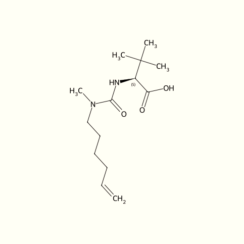 C=CCCCCN(C)C(=O)N[C@H](C(=O)O)C(C)(C)C